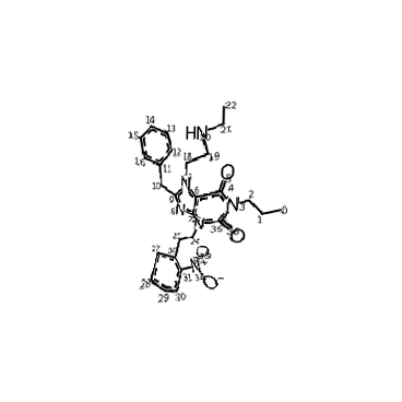 CCCn1c(=O)c2c(nc(Cc3ccccc3)n2CCNCC)n(CCc2ccccc2[N+](=O)[O-])c1=O